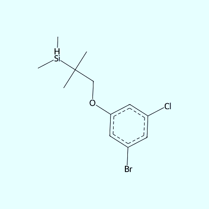 C[SiH](C)C(C)(C)COc1cc(Cl)cc(Br)c1